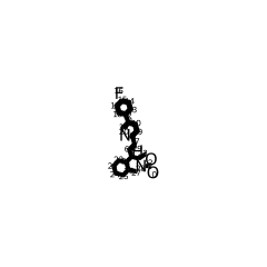 O=C1OC[C@@H]2C(/C=C/c3ccc(-c4ccc(F)cc4)cn3)C3CCCCC3CN12